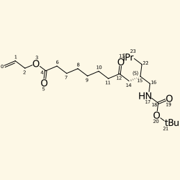 C=CCOC(=O)CCCCCCC(=O)C[C@@H](CNC(=O)OC(C)(C)C)CC(C)C